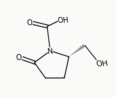 O=C(O)N1C(=O)CC[C@H]1CO